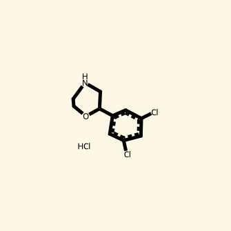 Cl.Clc1cc(Cl)cc(C2CNCCO2)c1